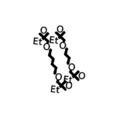 CCC1(COCCCCCCOCC2(CC)COC2)COC1.CCC1(COCCCCOCC2(CC)COC2)COC1